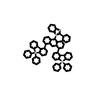 c1ccc(-c2nc3ccccc3n2-c2c3cccc(-c4cccc5c4-c4ccccc4[Si]5(c4ccccc4)c4ccccc4)c3cc3c(-c4cccc5c4-c4ccccc4[Si]5(c4ccccc4)c4ccccc4)cccc23)cc1